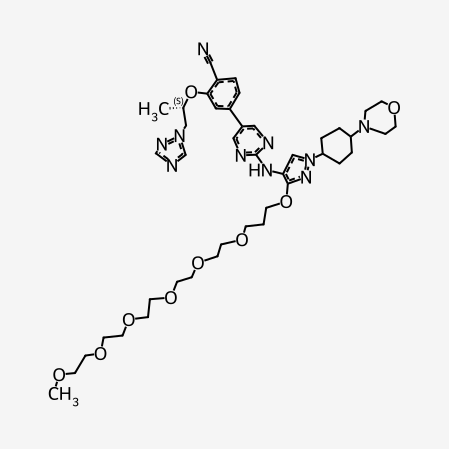 COCCOCCOCCOCCOCCOCCCOc1nn(C2CCC(N3CCOCC3)CC2)cc1Nc1ncc(-c2ccc(C#N)c(O[C@@H](C)Cn3cncn3)c2)cn1